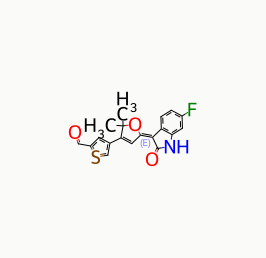 CC1(C)O/C(=C2/C(=O)Nc3cc(F)ccc32)C=C1c1csc(C=O)c1